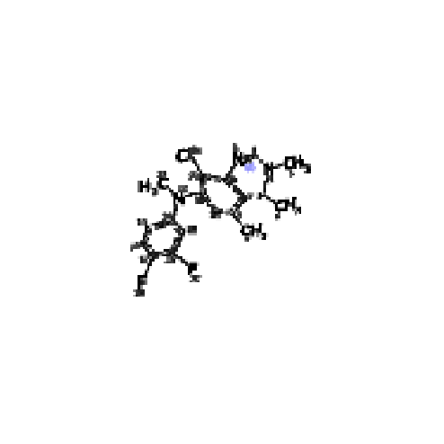 CCN(C)/C=N\c1cc(C)cc(N(C)c2ccc(F)c(F)c2)c1Cl